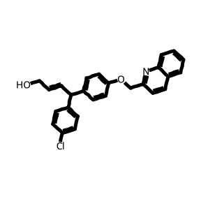 OCC=CC(c1ccc(Cl)cc1)c1ccc(OCc2ccc3ccccc3n2)cc1